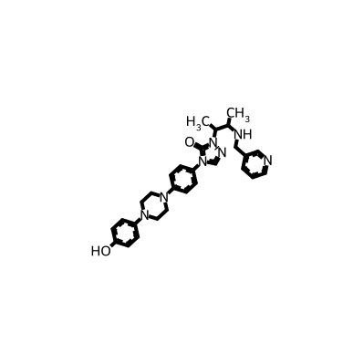 CC(NCc1cccnc1)C(C)n1ncn(-c2ccc(N3CCN(c4ccc(O)cc4)CC3)cc2)c1=O